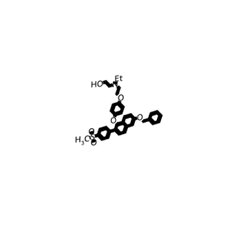 CCN(CCO)CCOc1ccc(Oc2c(-c3ccc(S(C)(=O)=O)cc3)ccc3cc(OCc4ccccc4)ccc23)cc1